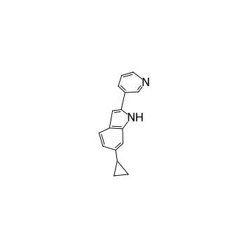 c1cncc(-c2cc3ccc(C4CC4)cc3[nH]2)c1